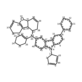 C1=CCC(n2c3ccc(-c4ccccc4)cc3c3cc(N(C4=CCCCC4)C4CC=CC5OC6=C(CCC=C6)C54)ccc32)C=C1